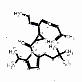 C=C(C)C=C=C/C(=C\CC)C1CC1C(=O)n1c(CCC(C)(C)C)ccc1C(C)N